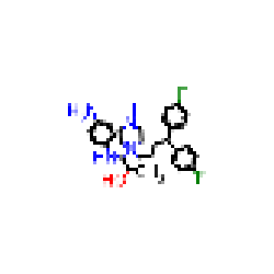 CC(O)C(Nc1ccc(N)cc1)[N+]1(CCCC(c2ccc(F)cc2)c2ccc(F)cc2)CCNCC1